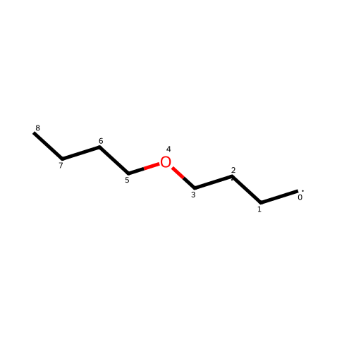 [CH2]C[CH]COCCCC